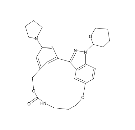 O=C1NCCCOc2ccc3c(c2)c(nn3C2CCCCO2)-c2cc(cc(N3CCCC3)c2)CO1